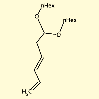 C=C/C=C/CC(OCCCCCC)OCCCCCC